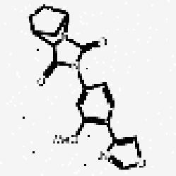 COc1cc(N2C(=O)C3C4CCC(C4)N3C2=O)ccc1-c1cocn1